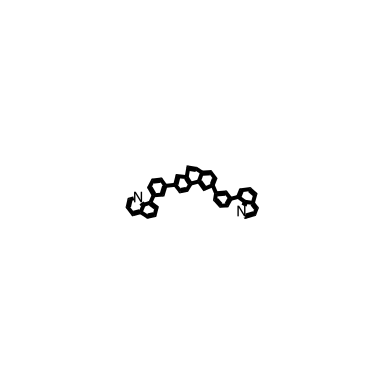 c1cc(-c2ccc3c(ccc4ccc(-c5cccc(-c6cccc7cccnc67)c5)cc43)c2)cc(-c2cccc3cccnc23)c1